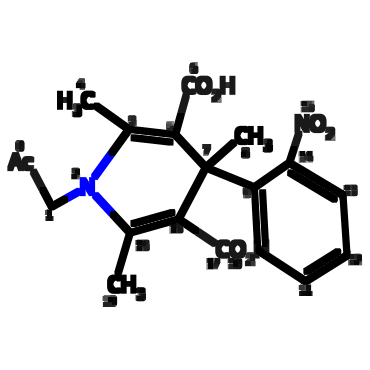 CC(=O)CN1C(C)=C(C(=O)O)C(C)(c2ccccc2[N+](=O)[O-])C(C(=O)O)=C1C